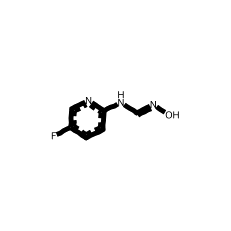 O/N=C/Nc1ccc(F)cn1